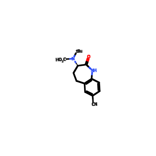 CC(C)(C)N(C(=O)O)[C@H]1CCc2cc(C#N)ccc2NC1=O